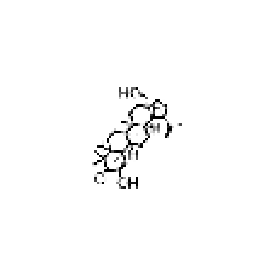 C=C(C)[C@@H]1CC[C@]2(CO)CC[C@]3(C)[C@H](CC[C@@H]4[C@@]5(C)C=C(O)C(=O)C(C)(C)[C@@H]5CC[C@]43C)[C@@H]12